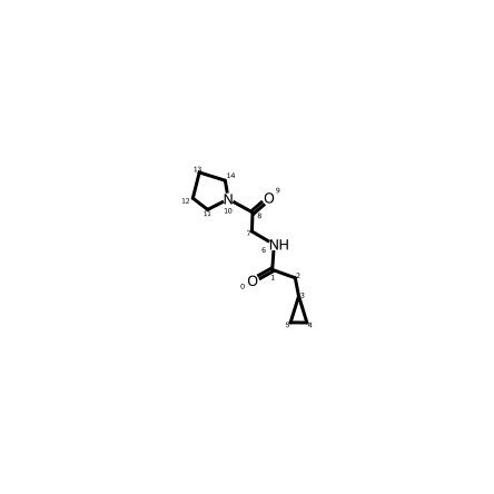 O=C(CC1CC1)NCC(=O)N1CCCC1